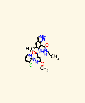 CCCNC(=O)c1c(NC(=O)c2cc(OC)nn2-c2ncccc2Cl)c(C)cc2c[nH]nc12